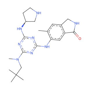 Cc1cc2c(cc1Nc1nc(N[C@H]3CCNC3)nc(N(C)CC(C)(C)C)n1)C(=O)NC2